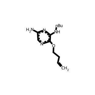 C=CCCOc1ncc(N)nc1NCCCC